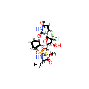 CC(C)OC(=O)[C@H](C)N[P@@](=S)(OC[C@H]1O[C@@H](n2ccc(=O)[nH]c2=O)[C@](F)(Cl)[C@@H]1O)Oc1ccccc1